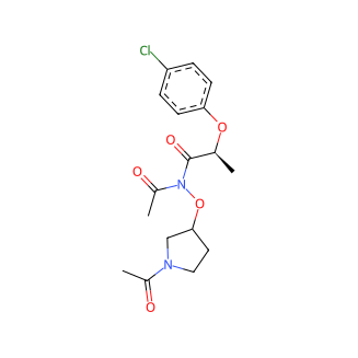 CC(=O)N1CCC(ON(C(C)=O)C(=O)[C@H](C)Oc2ccc(Cl)cc2)C1